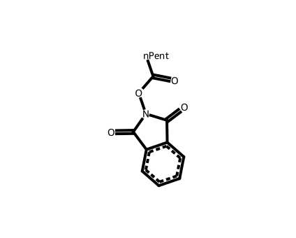 CCCCCC(=O)ON1C(=O)c2ccccc2C1=O